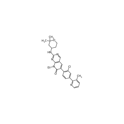 CCn1c(=O)c(-c2ccc(-c3ncccc3C)cc2Cl)cc2cnc(NC3CCOC(C)(C)C3)nc21